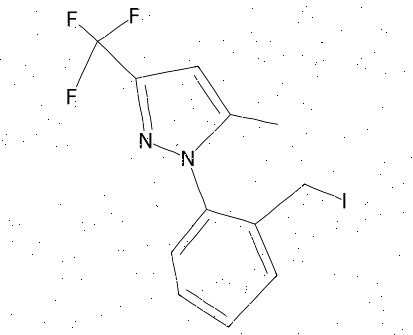 Cc1cc(C(F)(F)F)nn1-c1ccccc1CI